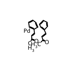 CC(=O)C=Cc1ccccc1.CC(=O)C=Cc1ccccc1.[Pd]